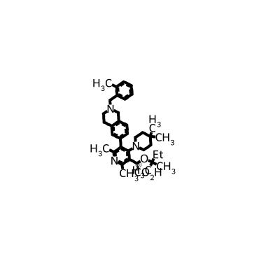 CCC(C)(C)O[C@H](C(=O)O)c1c(C)nc(C)c(-c2ccc3c(c2)CCN(Cc2ccccc2C)C3)c1N1CCC(C)(C)CC1